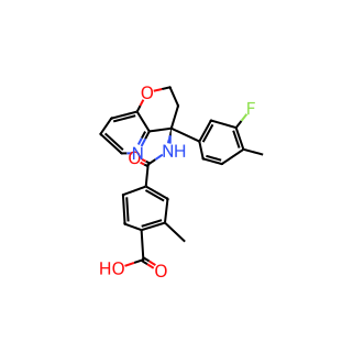 Cc1ccc([C@@]2(NC(=O)c3ccc(C(=O)O)c(C)c3)CCOc3cccnc32)cc1F